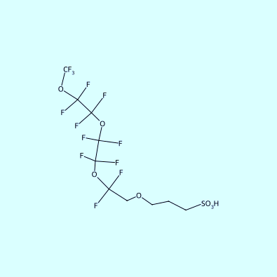 O=S(=O)(O)CCCOCC(F)(F)OC(F)(F)C(F)(F)OC(F)(F)C(F)(F)OC(F)(F)F